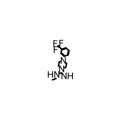 CCNC(=N)N1CCN(c2cccc(C(F)(F)F)c2)CC1